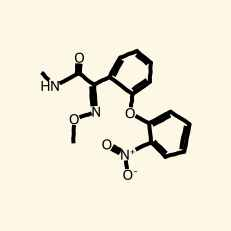 CNC(=O)C(=NOC)c1ccccc1Oc1ccccc1[N+](=O)[O-]